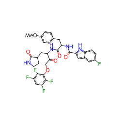 COc1ccc(CC(NC(=O)c2cc3cc(F)ccc3[nH]2)C(=O)NC(CC2CCNC2=O)C(=O)COc2c(F)c(F)cc(F)c2F)cc1